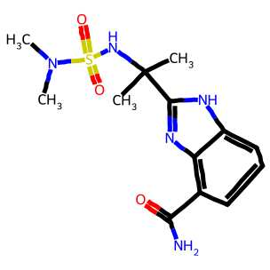 CN(C)S(=O)(=O)NC(C)(C)c1nc2c(C(N)=O)cccc2[nH]1